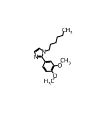 CCCCCCn1ccnc1-c1ccc(OC)c(OC)c1